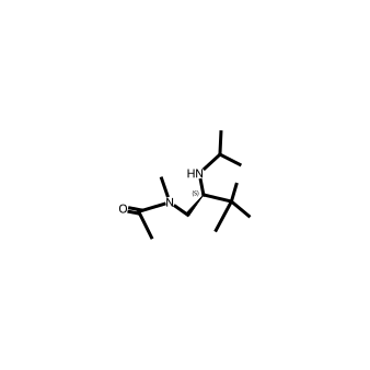 CC(=O)N(C)C[C@@H](NC(C)C)C(C)(C)C